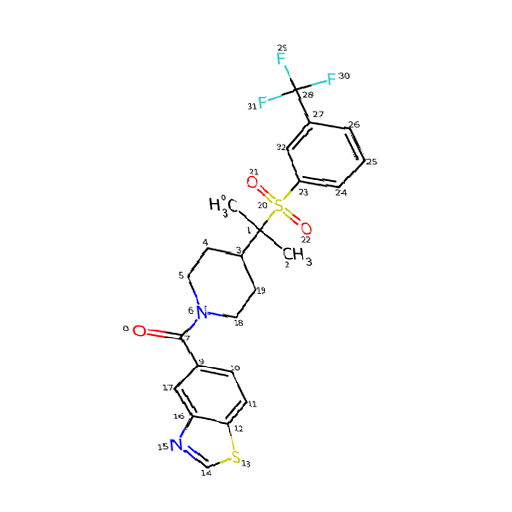 CC(C)(C1CCN(C(=O)c2ccc3scnc3c2)CC1)S(=O)(=O)c1cccc(C(F)(F)F)c1